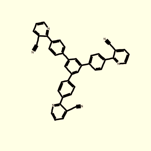 N#Cc1cccnc1-c1ccc(-c2cc(-c3ccc(-c4ncccc4C#N)cc3)cc(-c3ccc(-c4ncccc4C#N)cc3)c2)cc1